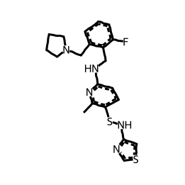 Cc1nc(NCc2c(F)cccc2CN2CCCC2)ccc1SNc1cscn1